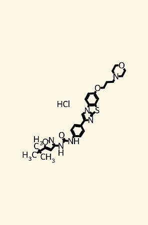 CC(C)(C)c1cc(NC(=O)Nc2ccc(-c3cn4c(n3)sc3cc(OCCCN5CCOCC5)ccc34)cc2)no1.Cl